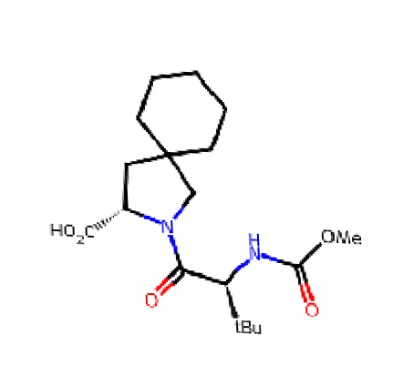 COC(=O)N[C@H](C(=O)N1CC2(CCCCC2)C[C@H]1C(=O)O)C(C)(C)C